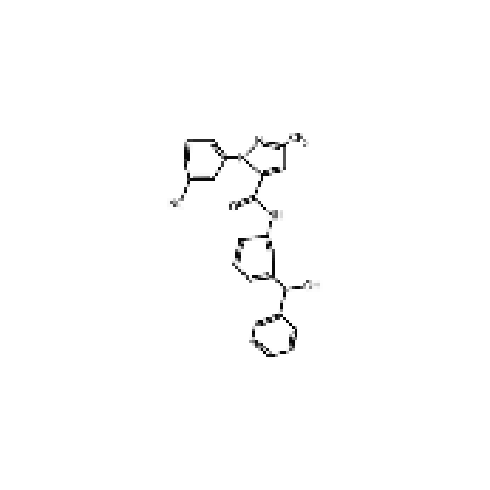 N#Cc1cccc(-n2nc(C(F)(F)F)cc2C(=O)Nc2cccc(C(O)c3ccccc3)c2)c1